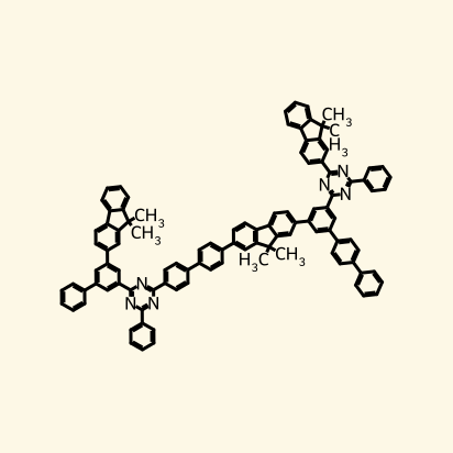 CC1(C)c2ccccc2-c2ccc(-c3cc(-c4ccccc4)cc(-c4nc(-c5ccccc5)nc(-c5ccc(-c6ccc(-c7ccc8c(c7)C(C)(C)c7cc(-c9cc(-c%10ccc(-c%11ccccc%11)cc%10)cc(-c%10nc(-c%11ccccc%11)nc(-c%11ccc%12c(c%11)C(C)(C)c%11ccccc%11-%12)n%10)c9)ccc7-8)cc6)cc5)n4)c3)cc21